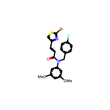 COc1cc(OC)cc(N(Cc2ccc(F)cc2)C(=O)/C=C/c2csc(Br)n2)c1